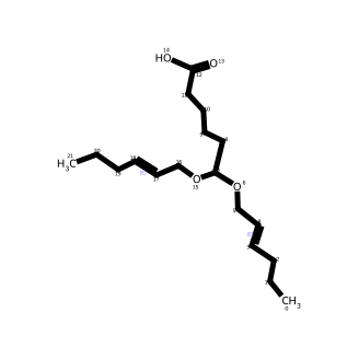 CCC/C=C/COC(CCCCC(=O)O)OC/C=C/CCC